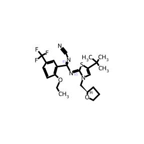 CCOc1ccc(C(F)(F)F)cc1C(/N=c1\sc(C(C)(C)C)cn1C[C@H]1CCCO1)=N\C#N